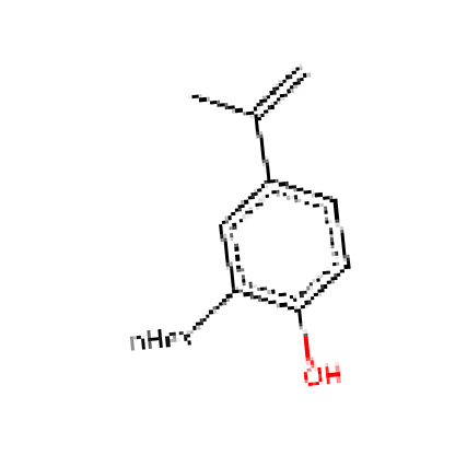 C=C(C)c1ccc(O)c(CCCCCC)c1